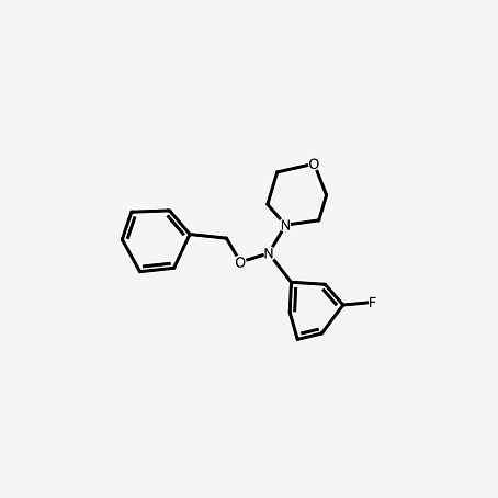 Fc1cccc(N(OCc2ccccc2)N2CCOCC2)c1